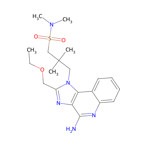 CCOCc1nc2c(N)nc3ccccc3c2n1CC(C)(C)CS(=O)(=O)N(C)C